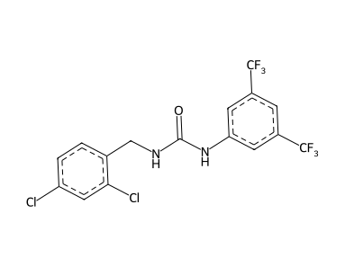 O=C(NCc1ccc(Cl)cc1Cl)Nc1cc(C(F)(F)F)cc(C(F)(F)F)c1